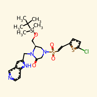 CC(C)(C)[Si](C)(C)OC[C@H]1CN(S(=O)(=O)C=Cc2ccc(Cl)s2)CC(=O)N1Cc1cc2cnccc2[nH]1